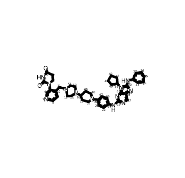 O=C1CCN(c2cnccc2CN2CCN(C3CCN(c4ccc(Nc5ncc6nc(Nc7ccccc7)n(C7CCCC7)c6n5)cc4)CC3)CC2)C(=O)N1